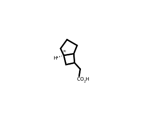 O=C(O)CC1C[C@H]2CCCC12